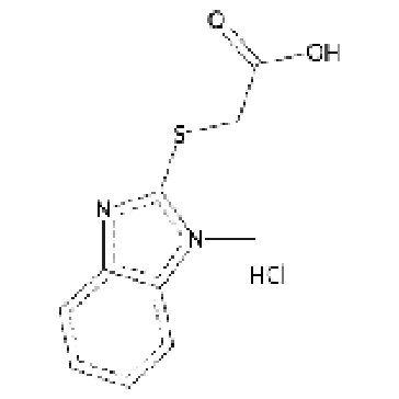 Cl.Cn1c(SCC(=O)O)nc2ccccc21